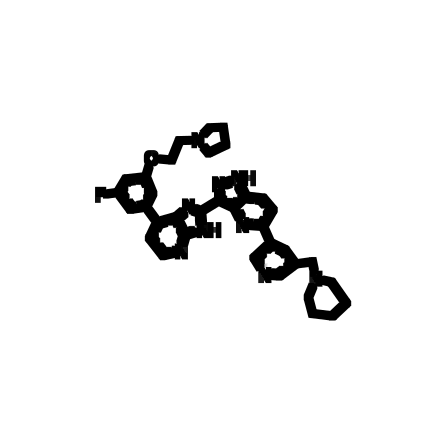 Fc1cc(OCCN2CCCC2)cc(-c2ccnc3[nH]c(-c4n[nH]c5ccc(-c6cncc(CN7CCCCC7)c6)nc45)nc23)c1